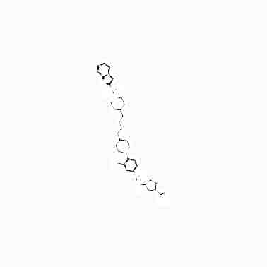 O=C(O)C1CCC(NS(=O)(=O)c2ccc(N3CCC(CCCCC4CCN(S(=O)(=O)c5cc6ccccc6s5)CC4)CC3)c(Cl)c2)C1